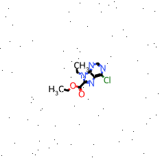 CCOC(=O)c1nc2c(Cl)ncnc2n1CC